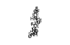 O=C1CCC(N2Cc3c(ccc(C[C@H]4OCCC[C@@H]4NC4CCC(OC(F)F)CC4)c3F)C2=O)C(=O)N1